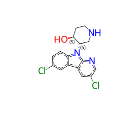 O[C@H]1CCNC[C@@H]1n1c2ccc(Cl)cc2c2cc(Cl)cnc21